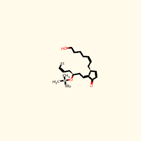 CC/C=C\C[C@@H](C/C=C1/C(=O)C=C[C@@H]1C/C=C\CCCCO)O[Si](C)(C)C(C)(C)C